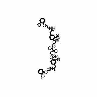 COc1ccccc1OCCNC(C)Cc1ccc(OCOC(=O)C(=O)OCOc2ccc(CC(C)NCCOc3ccccc3OC)cc2S(C)(=O)=O)c(S(C)(=O)=O)c1